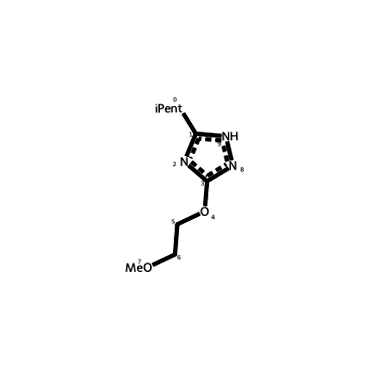 CCCC(C)c1nc(OCCOC)n[nH]1